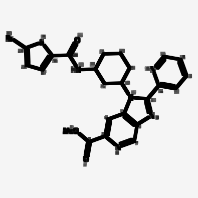 COC(=O)c1cc2c(cn1)nc(-c1ccccn1)n2C1CCCC(NC(=O)c2ccc(Br)s2)C1